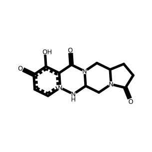 O=C1CCC2CN3C(=O)c4c(O)c(=O)ccn4NC3CN12